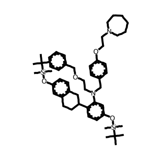 CC(C)(C)[Si](C)(C)Oc1ccc2c(c1)CCC(c1ccc(O[Si](C)(C)C(C)(C)C)cc1N(CCOCc1ccccc1)Cc1ccc(OCCN3CCCCCC3)cc1)C2